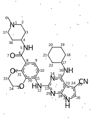 CN1CCC(NC(=O)c2ccc(Nc3nc(NC4CCCCC4)c4c(C#N)c[nH]c4n3)c3c2OCCO3)CC1